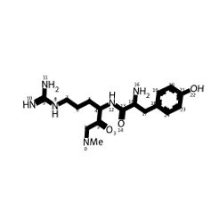 CNCC(=O)C(CCCNC(=N)N)NC(=O)C(N)Cc1ccc(O)cc1